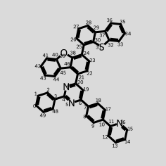 c1ccc(-c2nc(-c3ccc(-c4ccccn4)cc3)cc(-c3ccc(-c4cccc5c4sc4ccccc45)c4oc5ccccc5c34)n2)cc1